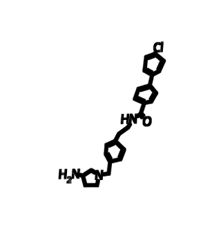 NC1CCN(Cc2ccc(CCNC(=O)c3ccc(-c4ccc(Cl)cc4)cc3)cc2)C1